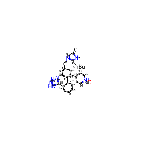 CCCCc1nc(C)cn1Cc1ccc(-c2ccccc2-c2nnn[nH]2)c(-c2cc[n+]([O-])cc2)c1